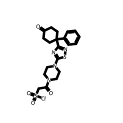 O=C1CCC(c2ccccc2)(c2nsc(N3CCN(C(=O)CS(=O)(=O)Cl)CC3)n2)CC1